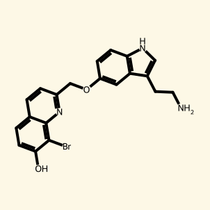 NCCc1c[nH]c2ccc(OCc3ccc4ccc(O)c(Br)c4n3)cc12